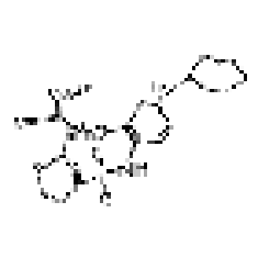 COC(=O)Oc1sccc1S(=O)(=O)Nc1ccc(NC2CCCCC2)cc1OC